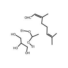 CC(C)=CCCC(C)=CC=O.CCOC(C)OCC.OCC(O)CO